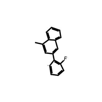 Cc1cc(-c2[c]cccc2F)cc2ccccc12